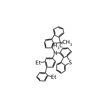 CCc1ccccc1-c1ccc(N(c2cccc3c2C(C)(C)c2ccccc2-3)c2cccc3sc4ccccc4c23)cc1CC